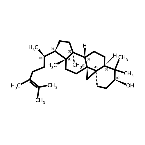 CC(C)=C(C)CC[C@@H](C)[C@H]1CC[C@@]2(C)[C@@H]3CC[C@H]4C(C)(C)[C@@H](O)CC[C@@]45C[C@@]35CC[C@]12C